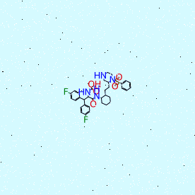 O=C(O)NC(C(=O)N[C@H]1CCCC[C@@H]1CCC1CNCCN1S(=O)(=O)c1ccccc1)C(c1ccc(F)cc1)c1ccc(F)cc1